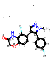 Cn1ncc(-c2ccc3c(c2F)NC(=O)CO3)c1-c1ccc(F)cc1